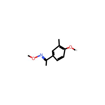 [CH]Oc1ccc(/C(C)=N/OC)cc1C